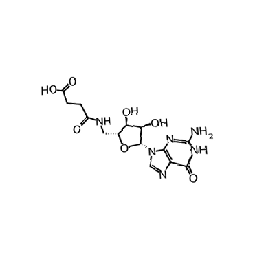 Nc1nc2c(ncn2[C@@H]2O[C@H](CNC(=O)CCC(=O)O)[C@@H](O)[C@H]2O)c(=O)[nH]1